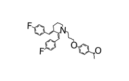 CC(=O)c1ccc(OCCCN2CCCC(=Cc3ccc(F)cc3)C2=Cc2ccc(F)cc2)cc1